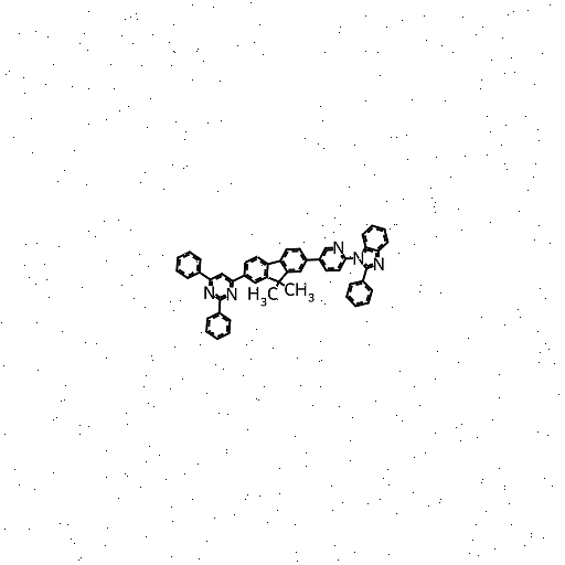 CC1(C)c2cc(-c3ccc(-n4c(-c5ccccc5)nc5ccccc54)nc3)ccc2-c2ccc(-c3cc(-c4ccccc4)nc(-c4ccccc4)n3)cc21